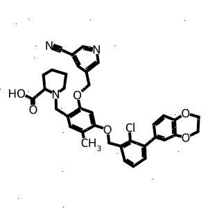 Cc1cc(CN2CCCCC2C(=O)O)c(OCc2cncc(C#N)c2)cc1OCc1cccc(-c2ccc3c(c2)OCCO3)c1Cl